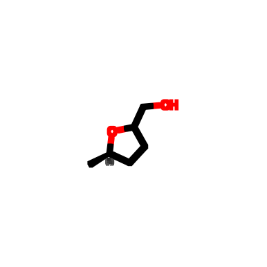 C[C@@H]1CCC(CO)O1